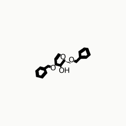 O[C@H]1[C@H](OCc2ccccc2)C=CO[C@@H]1COCc1ccccc1